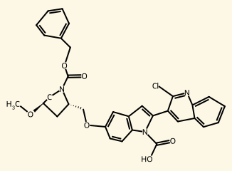 CO[C@@H]1C[C@@H](COc2ccc3c(c2)cc(-c2cc4ccccc4nc2Cl)n3C(=O)O)N(C(=O)OCc2ccccc2)C1